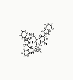 Cc1cc(CCNc2ccccc2S(=O)(=O)NC(=O)C(OC(=O)C(F)(F)F)c2ccccc2)c2oc(N3Cc4ccccc4C3)cc(=O)c2c1